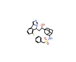 O=S(=O)(Cc1ccccc1)NC1C2CC3CC1CC([C@H](O)C[C@H]1c4c(F)cccc4-c4cncn41)(C3)C2